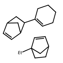 C1=CC2CC1CC2C1=CCCCC1.CCC12C=CC(CC1)C2